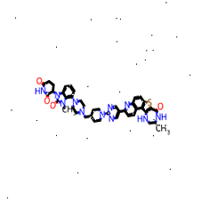 C[C@@H]1CNc2c(sc3ccc4nc(-c5cnc(N6CCC(CN7CCN(c8cccc9c8n(C)c(=O)n9C8CCC(=O)NC8=O)CC7)CC6)nc5)ccc4c23)C(=O)N1